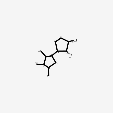 CCC1CCC(C2CC(C)C(C)C2C)C1CC